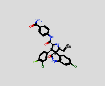 CC(C)(C)C[C@@H]1N[C@@H](C(=O)Nc2ccc(C(N)=O)cc2)[C@H](c2ccc(F)c(Cl)c2)[C@]12C(=O)Nc1cc(Cl)ccc12